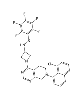 Fc1c(F)c(F)c(SNC2CN(c3ncnc4c3CCN(c3cccc5cccc(Cl)c35)C4)C2)c(F)c1F